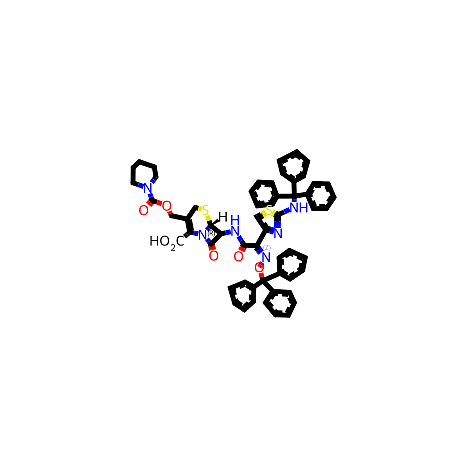 O=C(O)C1=C(COC(=O)N2CCCCC2)CS[C@@H]2C(NC(=O)/C(=N\OC(c3ccccc3)(c3ccccc3)c3ccccc3)c3csc(NC(c4ccccc4)(c4ccccc4)c4ccccc4)n3)C(=O)N12